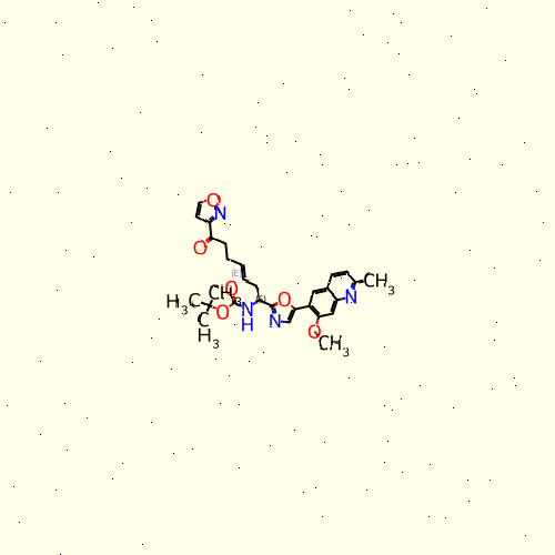 COc1cc2nc(C)ccc2cc1-c1cnc([C@H](C/C=C/CCC(=O)c2ccon2)NC(=O)OC(C)(C)C)o1